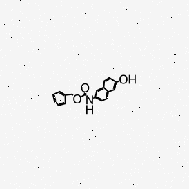 O=C(Nc1ccc2cc(O)ccc2c1)OCc1ccccc1